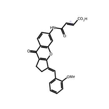 COc1ccccc1C=C1CCc2c1oc1cc(NC(=O)/C=C/C(=O)O)ccc1c2=O